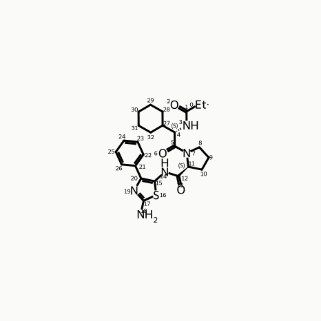 C[CH]C(=O)N[C@H](C(=O)N1CCC[C@H]1C(=O)Nc1sc(N)nc1-c1ccccc1)C1CCCCC1